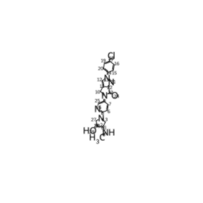 CN[C@@H]1CN(c2ccc(N3Cc4cn(-c5ccc(Cl)cc5)nc4C3=O)cn2)C[C@H]1O